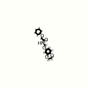 O=C(COC1CCCCC1)NCOc1ccc2c(c1)OCCO2